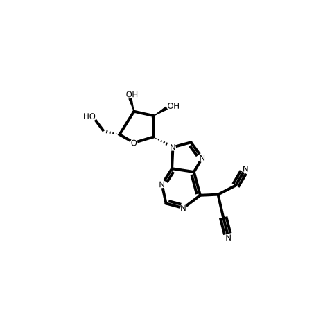 N#CC(C#N)c1ncnc2c1ncn2[C@@H]1O[C@H](CO)[C@@H](O)[C@H]1O